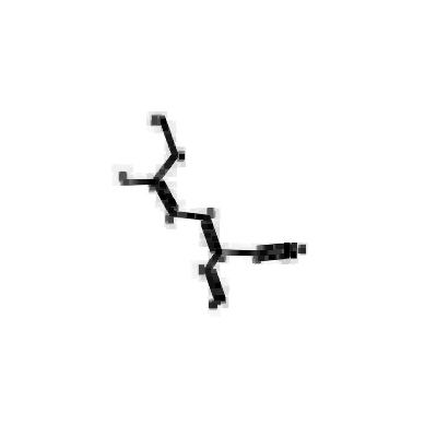 C=C/C(C#N)=C\C=C(\C)CC